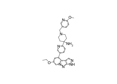 CCOc1cc(-c2ccc(C3(N)CCN(Cc4ccc(OC)nc4)CC3)nc2)c2c3cn[nH]c3nn2c1